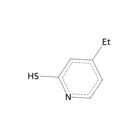 CCc1ccnc(S)c1